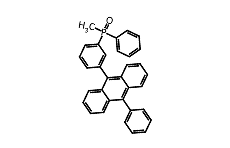 CP(=O)(c1ccccc1)c1cccc(-c2c3ccccc3c(-c3ccccc3)c3ccccc23)c1